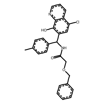 Cc1ccc(C(NC(=O)COCc2ccccc2)c2cc(Cl)c3cccnc3c2O)cc1